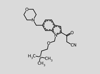 CS(C)(C)CCOCn1c(C(=O)CC#N)cc2ccc(CN3CCOCC3)cc21